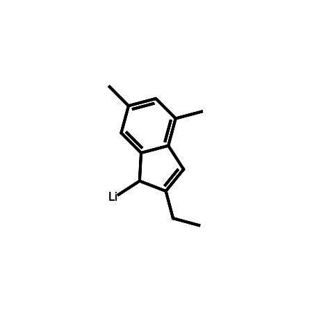 [Li][CH]1C(CC)=Cc2c(C)cc(C)cc21